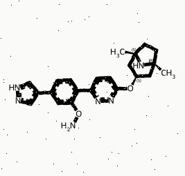 C[C@]12CC[C@](C)(C[C@@H](Oc3ccc(-c4ccc(-c5cn[nH]c5)cc4ON)nn3)C1)N2